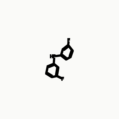 Fc1cccc(Pc2cccc(F)c2)c1